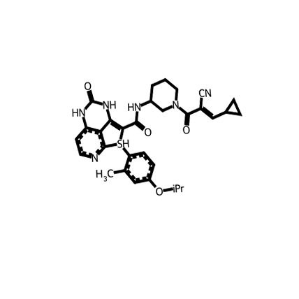 Cc1cc(OC(C)C)ccc1[SH]1C(C(=O)NC2CCCN(C(=O)/C(C#N)=C/C3CC3)C2)=C2NC(=O)Nc3ccnc1c32